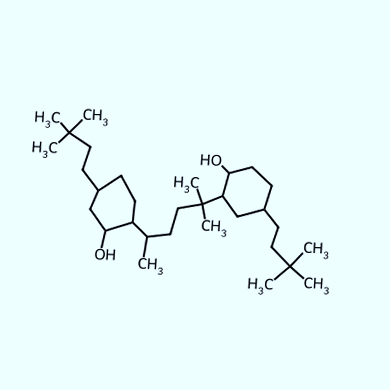 CC(CCC(C)(C)C1CC(CCC(C)(C)C)CCC1O)C1CCC(CCC(C)(C)C)CC1O